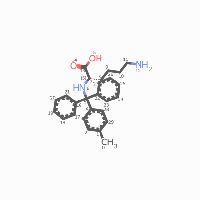 Cc1ccc(C(N[C@@H](CCCCN)C(=O)O)(c2ccccc2)c2ccccc2)cc1